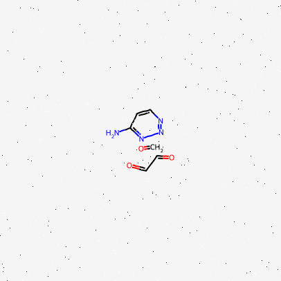 C=O.Nc1ccnnn1.O=CC=O